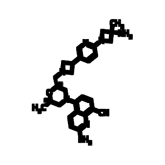 Bc1ccc2c(N3C[C@H](CN4CC(c5ccc(N6CC(C)(N)C6)nc5)C4)O[C@H](C)C3)ccc(C#N)c2n1